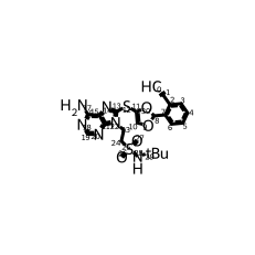 C#Cc1ccccc1C1OC=C(Sc2nc3c(N)ncnc3n2CCS(=O)(=O)NC(C)(C)C)O1